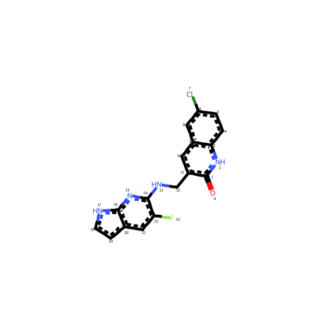 O=c1[nH]c2ccc(Cl)cc2cc1CNc1nc2[nH]ccc2cc1F